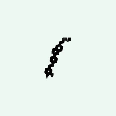 O=C(O)CCN1CCc2nc(-c3ccc(OCc4ccc(F)c(F)c4)cc3)ncc2C1